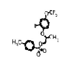 Cc1ccc(S(=O)(=O)OCC(C)Oc2ccc(OC(F)(F)F)cc2I)cc1